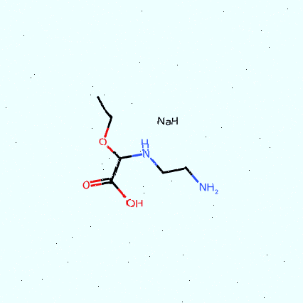 CCOC(NCCN)C(=O)O.[NaH]